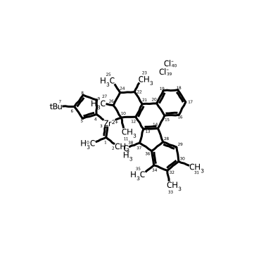 C[C](C)=[Zr+2]([C]1=CC(C(C)(C)C)=CC1)[C]1(C)c2c3c(c4ccccc4c2C(C)C(C)C1C)-c1cc(C)c(C)c(C)c1C3C.[Cl-].[Cl-]